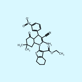 CCOC(=O)c1c(N2C(N)=C(C#N)C(c3cccc([N+](=O)[O-])c3)C3C(=O)CC(C)(C)CC32)sc2c1CCCC2